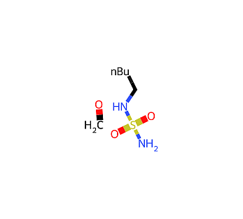 C=O.CCCCCNS(N)(=O)=O